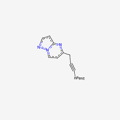 CCCCCC#CCc1ccn2nccc2n1